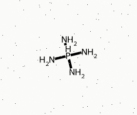 N[PH](N)(N)N